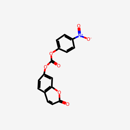 O=C(Oc1ccc([N+](=O)[O-])cc1)Oc1ccc2ccc(=O)oc2c1